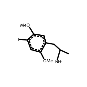 COc1cc(CC(C)[NH])c(OC)cc1I